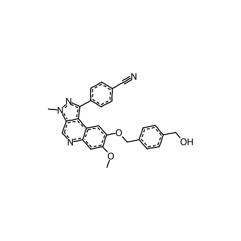 COc1cc2ncc3c(c(-c4ccc(C#N)cc4)nn3C)c2cc1OCc1ccc(CO)cc1